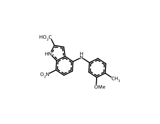 COc1cc(Nc2ccc([N+](=O)[O-])c3[nH]c(C(=O)O)cc23)ccc1C